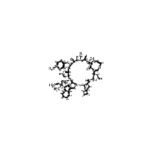 C=CC(C)(C)n1cc(C[C@@H]2NC(=O)[C@H](CC3CCC3)NC(=O)[C@H](CC(C)C)N3CC/C=C\C[C@@H](C3=O)N(C)C(=O)[C@H](C)NC(=O)[C@H](Cc3ccc(C)nc3)NC(=O)[C@H](CC(C)C)N(C)C2=O)c2ccccc21